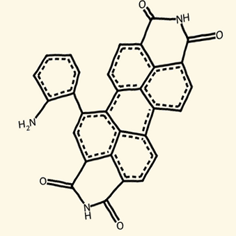 Nc1ccccc1-c1cc2c3c(ccc4c5ccc6c7c(ccc(c1c34)c75)C(=O)NC6=O)C(=O)NC2=O